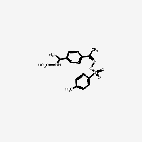 Cc1ccc(S(=O)(=O)ON=C(c2ccc(C(C)NC(=O)O)cc2)C(F)(F)F)cc1